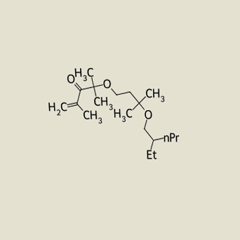 C=C(C)C(=O)C(C)(C)OCCC(C)(C)OCC(CC)CCC